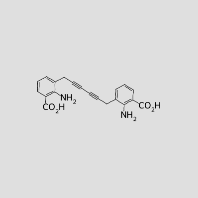 Nc1c(CC#CC#CCc2cccc(C(=O)O)c2N)cccc1C(=O)O